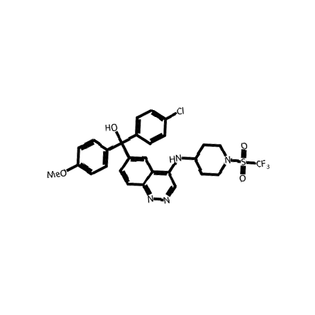 COc1ccc(C(O)(c2ccc(Cl)cc2)c2ccc3nncc(NC4CCN(S(=O)(=O)C(F)(F)F)CC4)c3c2)cc1